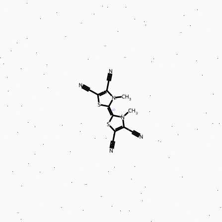 CN1C(C#N)=C(C#N)S/C1=C1\SC(C#N)=C(C#N)N1C